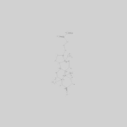 COC(=O)CCCC1CCC2C3CCC4(C)CC(=O)CCC4(S)C3CCC12C